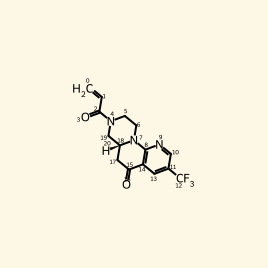 C=CC(=O)N1CCN2c3ncc(C(F)(F)F)cc3C(=O)C[C@@H]2C1